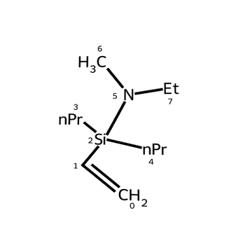 C=C[Si](CCC)(CCC)N(C)CC